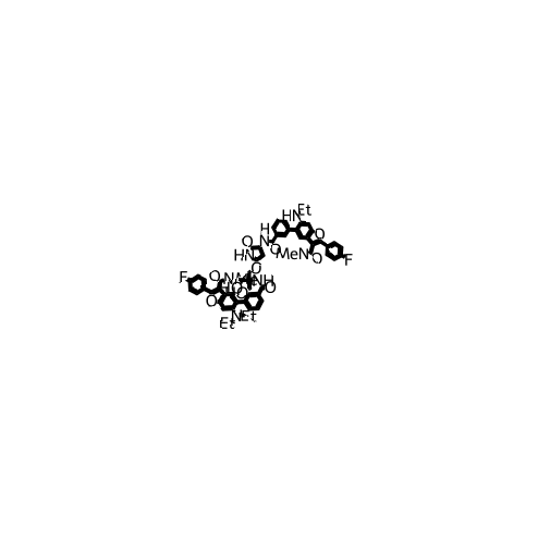 CCNc1cc2oc(-c3ccc(F)cc3)c(C(=O)NC)c2cc1-c1cccc(C(=O)NC2CC(OCC(CO)(CO)NC(=O)c3cccc(-c4cc5c(C(=O)NC)c(-c6ccc(F)cc6)oc5cc4N(CC)CC)c3)NC2=O)c1